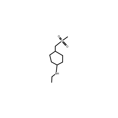 CCNC1CCC(CS(C)(=O)=O)CC1